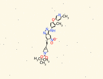 Cc1ccc(Oc2ccc(Nc3ncnc4cc(C#CC5C6CN(C(=O)OC(C)(C)C)CC56)c([N+](=O)[O-])cc34)cc2C)cn1